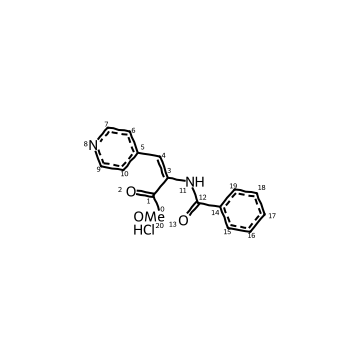 COC(=O)/C(=C\c1ccncc1)NC(=O)c1ccccc1.Cl